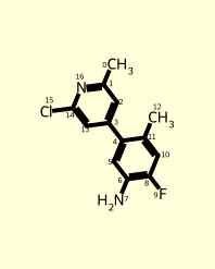 Cc1cc(-c2cc(N)c(F)cc2C)cc(Cl)n1